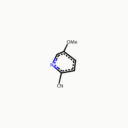 [CH2]Oc1ccc(C#N)nc1